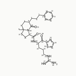 CC12CCC(CCCc3ccccc3)C(=O)N1C(C(=O)NC(CCCNC(=N)N)C(=O)c1nccs1)CS2